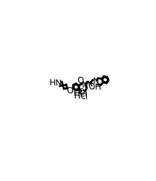 Cl.Cl.O=C1c2ccc(OC3CC4(CNC4)C3)cc2OCCN1C[C@H](O)CN1CCc2ccccc2C1